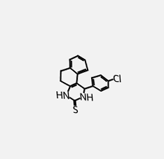 S=C1NC2=C(c3ccccc3CC2)C(c2ccc(Cl)cc2)N1